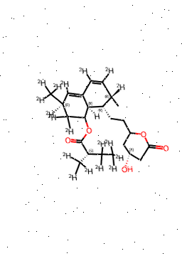 [2H]C1=C([2H])[C@]([2H])(C)[C@H](CCC2C[C@@H](O)CC(=O)O2)[C@@H]2C1=C([2H])[C@]([2H])(C([2H])([2H])[2H])C([2H])([2H])C2OC(=O)[C@@H](C([2H])([2H])[2H])C([2H])([2H])C([2H])([2H])[2H]